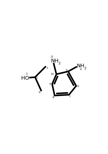 CC(C)O.Nc1ccccc1N